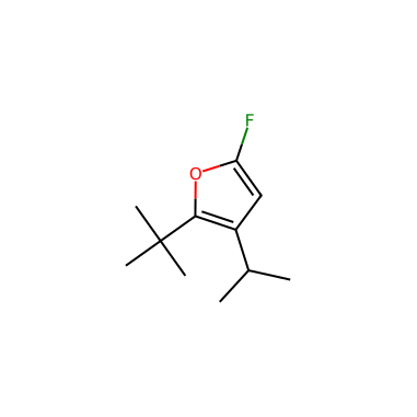 CC(C)c1cc(F)oc1C(C)(C)C